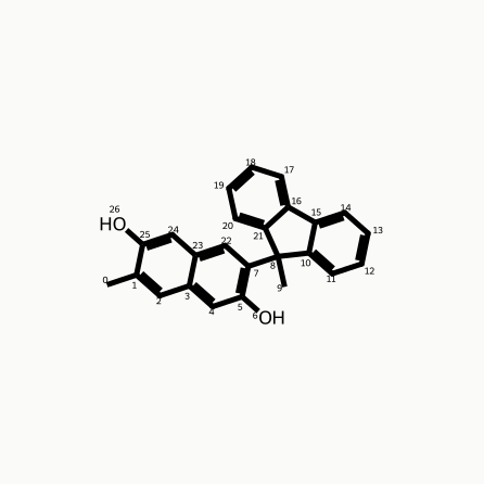 Cc1cc2cc(O)c(C3(C)c4ccccc4-c4ccccc43)cc2cc1O